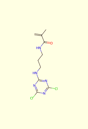 C=C(C)C(=O)NCCCNc1nc(Cl)nc(Cl)n1